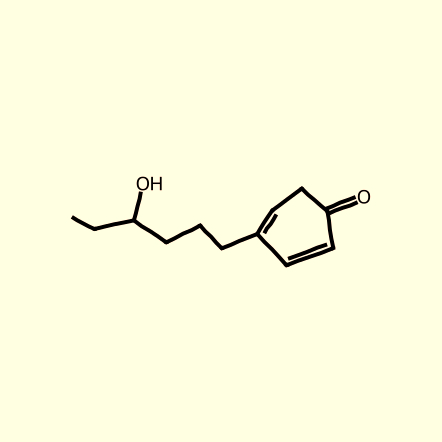 CCC(O)CCCC1=CCC(=O)C=C1